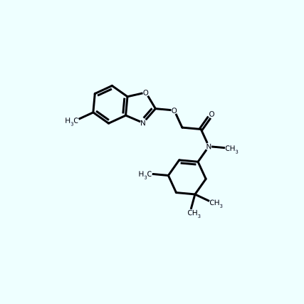 Cc1ccc2oc(OCC(=O)N(C)C3=CC(C)CC(C)(C)C3)nc2c1